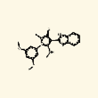 CNc1c(-c2nc3ccccc3[nH]2)c(=O)n(C)n1-c1cc(OC)cc(OC)c1